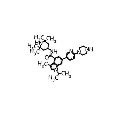 Cc1cn(C(C)C)c2cc(-c3ccc(N4CCNCC4)nc3)cc(C(=O)NC3CC(C)(C)NC(C)(C)C3)c12